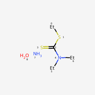 CCSC(=S)N(CC)CC.N.O